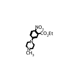 CCOC(=O)c1cc(N2CCN(C)CC2)ccc1[N+](=O)[O-]